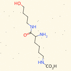 NC(CCCCNC(=O)O)C(=O)NCCCCO